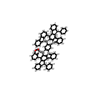 c1ccc(C2c3ccccc3-c3c4c5c6c(c32)c2ccccc2n6-c2cc3c(cc2B5n2c5ccccc5c5cccc-4c52)B2c4c(c5c(c6c7ccccc7n-3c46)C(c3ccccc3)c3ccccc3-5)-c3cccc4c5ccccc5n2c34)cc1